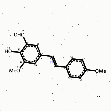 COc1ccc(/C=C/c2cc(C=O)c(O)c(OC)c2)cc1